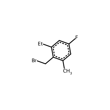 CCc1cc(F)cc(C)c1CBr